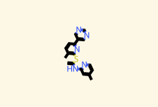 C=C(Nc1cc(C)ccn1)Sc1nc(-c2cncnc2)ccc1C